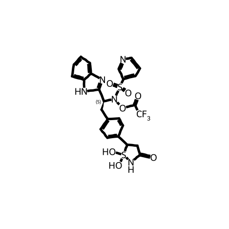 O=C1CC(c2ccc(C[C@@H](c3nc4ccccc4[nH]3)N(OC(=O)C(F)(F)F)S(=O)(=O)c3cccnc3)cc2)S(O)(O)N1